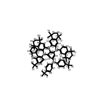 CC(C)(C)c1ccc(N(c2ccc(C(C)(C)C)cc2)c2cc3c4c(c2)N(c2ccc(C(C)(C)C)c5sc6ccccc6c25)c2cc5c(cc2B4c2cc4c(cc2N3c2ccc3c(c2)C(C)(C)CCC3(C)C)C(C)(C)CCC4(C)C)C(C)(C)CCC5(C)C)cc1